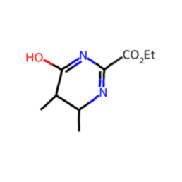 CCOC(=O)C1=NC(C)C(C)C(O)=N1